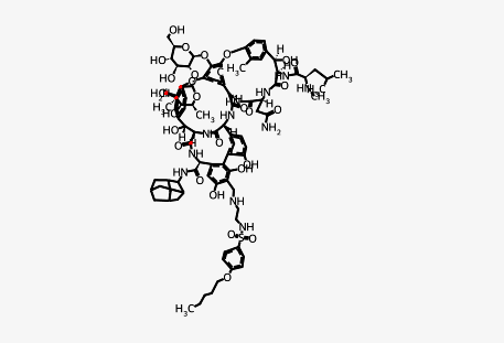 CCCCCOc1ccc(S(=O)(=O)NCCNCc2c(O)cc3c(c2O)-c2cc(ccc2O)[C@H]2NC(=O)[C@@H]4NC(=O)[C@H](CC(N)=O)NC(=O)[C@H](NC(=O)[C@@H](CC(C)C)NC)[C@H](O)c5ccc(c(C)c5)Oc5cc4cc(c5O[C@@H]4O[C@H](CO)[C@@H](O)[C@H](O)[C@H]4O[C@H]4C[C@](C)(N)[C@H](O)[C@H](C)O4)Oc4ccc(cc4Cl)[C@@H](O)[C@H](NC2=O)C(=O)N[C@@H]3C(=O)NC2C3CC4CC(C3)CC2C4)cc1